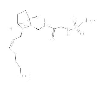 CCCCCCS(=O)(=O)NCC(=O)NC[C@H]1[C@@H](C/C=C\CCCC(=O)O)[C@H]2CC[C@H]1O2